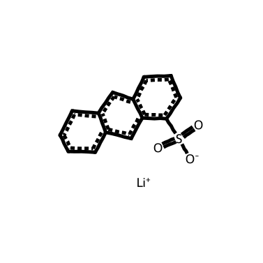 O=S(=O)([O-])c1cccc2cc3ccccc3cc12.[Li+]